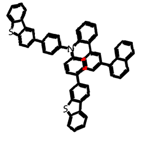 c1cc(-c2ccccc2N(c2ccc(-c3ccc4c(c3)sc3ccccc34)cc2)c2ccc(-c3ccc4sc5ccccc5c4c3)cc2)cc(-c2cccc3ccccc23)c1